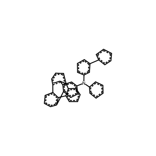 c1ccc(-c2cccc(N(c3ccccc3)c3ccc4c(c3)-c3c5cccc3-c3cccc-4c3-c3ccccc3-5)c2)cc1